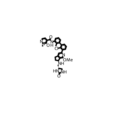 COc1nc(-c2cccc(-c3cccc(NC(=O)c4ccnn(C)c4=O)c3C)c2Cl)cc2c1[C@@H](NC[C@@H]1CNC(=O)N1)CC2